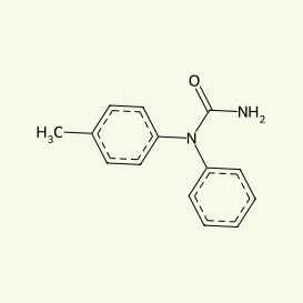 Cc1ccc(N(C(N)=O)c2ccccc2)cc1